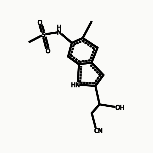 Cc1cc2cc(C(O)CC#N)[nH]c2cc1NS(C)(=O)=O